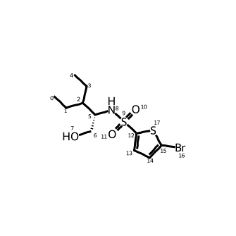 CCC(CC)[C@@H](CO)NS(=O)(=O)c1ccc(Br)s1